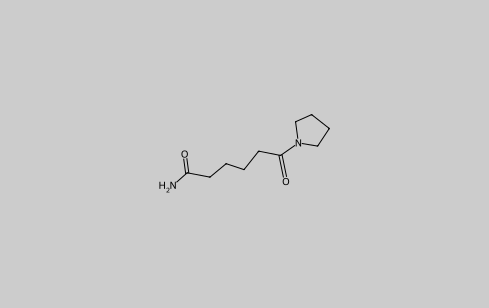 NC(=O)CCCCC(=O)N1CCCC1